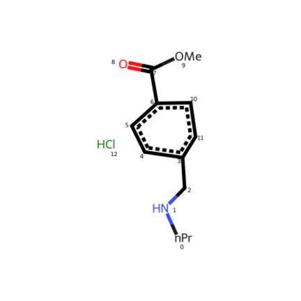 CCCNCc1ccc(C(=O)OC)cc1.Cl